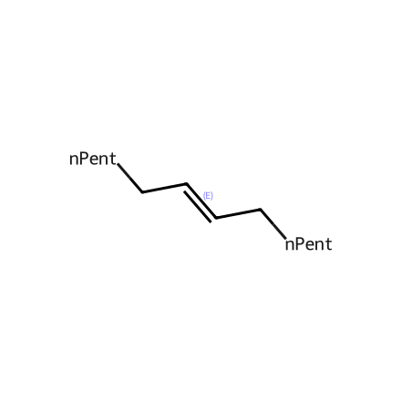 [CH2]CCCCC/C=C/CCCCC[CH2]